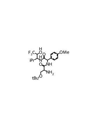 COc1ccc(C(NC(=O)C(N)COC(C)(C)C)C(=O)NC(C(C)C)C(O)C(F)(F)F)cc1